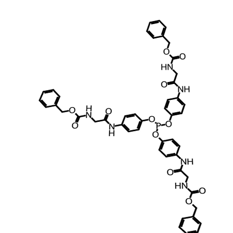 O=C(CNC(=O)OCc1ccccc1)Nc1ccc(OP(Oc2ccc(NC(=O)CNC(=O)OCc3ccccc3)cc2)Oc2ccc(NC(=O)CNC(=O)OCc3ccccc3)cc2)cc1